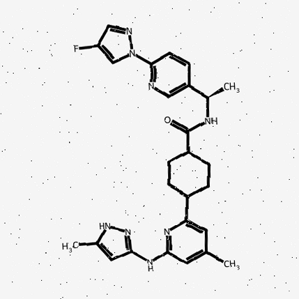 Cc1cc(Nc2cc(C)[nH]n2)nc(C2CCC(C(=O)N[C@H](C)c3ccc(-n4cc(F)cn4)nc3)CC2)c1